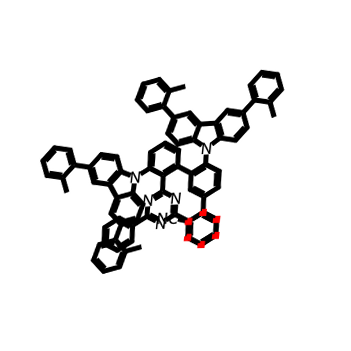 Cc1ccccc1-c1ccc2c(c1)c1cc(-c3ccccc3C)ccc1n2-c1ccc(-c2ccccc2C#N)cc1-c1cccc(-n2c3ccc(-c4ccccc4C)cc3c3cc(-c4ccccc4C)ccc32)c1-c1nc(-c2ccccc2)nc(-c2ccccc2)n1